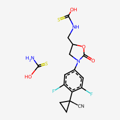 N#CC1(c2c(F)cc(N3CC(CNC(O)=S)OC3=O)cc2F)CC1.NC(O)=S